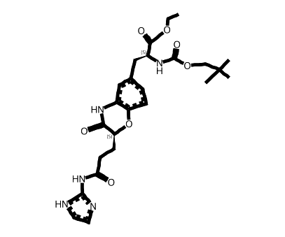 CCOC(=O)[C@H](Cc1ccc2c(c1)NC(=O)[C@H](CCC(=O)Nc1ncc[nH]1)O2)NC(=O)OCC(C)(C)C